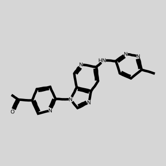 CC(=O)c1ccc(-n2cnc3cc(Nc4ccc(C)nn4)ncc32)nc1